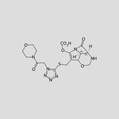 O=C(O)OC1=C(CSc2nnnn2CC(=O)N2CCOCC2)C2OCN[C@@H]3C(=O)N1[C@H]23